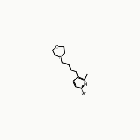 Cc1nc(Br)ccc1CCCCN1CCOCC1